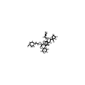 CN1CCN(CCOC(=O)N/C(=N\C(CCC2(C)CCCC2)C(=O)NCC#N)N2CCOCC2)CC1